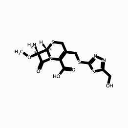 CO[C@@]1(N)C(=O)N2C(C(=O)O)=C(CSc3nnc(CO)s3)CS[C@H]21